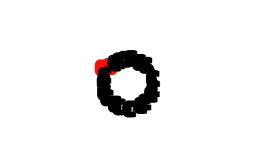 O=C1CCCCCCCCCCCCCCCCCCCCCCCCCCCO1